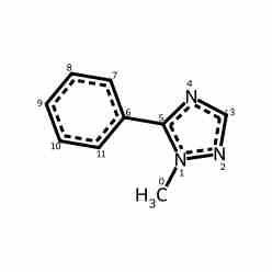 Cn1n[c]nc1-c1ccccc1